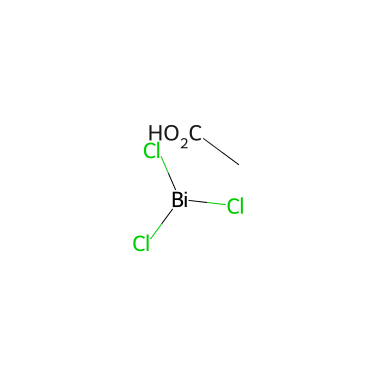 CC(=O)O.[Cl][Bi]([Cl])[Cl]